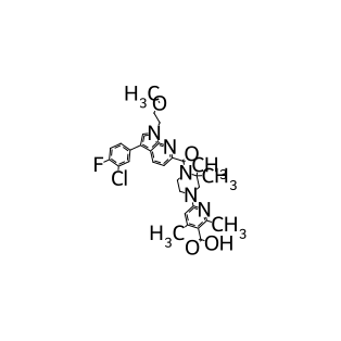 COCCn1cc(-c2ccc(F)c(Cl)c2)c2ccc(C(=O)N3CCN(c4cc(C)c(C(=O)O)c(C)n4)CC3(C)C)nc21